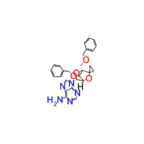 Nc1ncnc2c1ncn2[C@@H]1O[C@]2(COCc3ccccc3)C(OCc3ccccc3)[C@@H]1OC21CC1